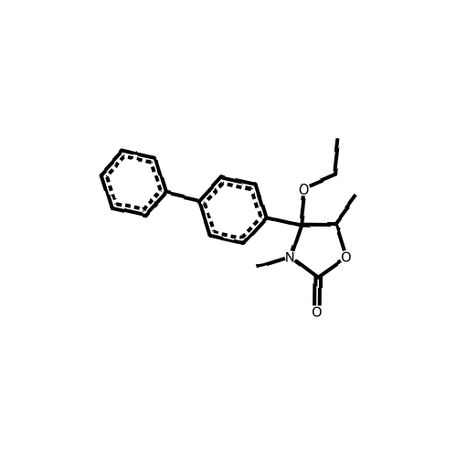 CCOC1(c2ccc(-c3ccccc3)cc2)C(C)OC(=O)N1C